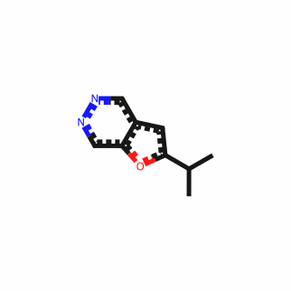 CC(C)c1cc2cnncc2o1